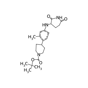 Cc1cc(NC2CCC(=O)NC2=O)ccc1C1CCN(C(=O)OC(C)(C)C)CC1